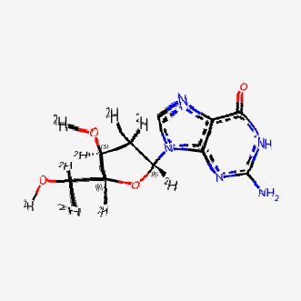 [2H]OC([2H])([2H])[C@@]1([2H])O[C@@]([2H])(n2cnc3c(=O)[nH]c(N)nc32)C([2H])([2H])[C@]1([2H])O[2H]